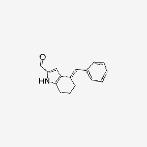 O=Cc1cc2c([nH]1)CCC/C2=C\c1ccccc1